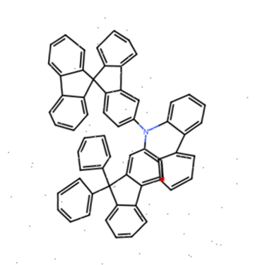 c1ccc(-c2ccccc2N(c2ccc3c(c2)-c2ccccc2C32c3ccccc3-c3ccccc32)c2ccc3c(c2)C(c2ccccc2)(c2ccccc2)c2ccccc2-3)cc1